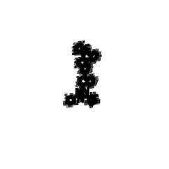 c1ccc(-c2nc(-c3ccccc3)nc(-c3ccc(-c4ccc5c(ccc6c5c5ccccc5c5sc7ccccc7c65)c4)c4ccccc34)n2)cc1